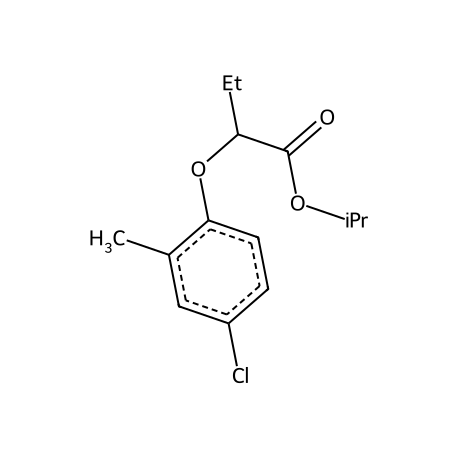 CCC(Oc1ccc(Cl)cc1C)C(=O)OC(C)C